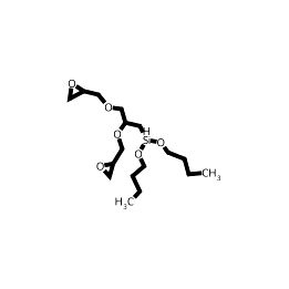 CCCCO[SiH](CC(COCC1CO1)OCC1CO1)OCCCC